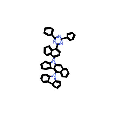 c1ccc(-c2nc(-c3ccccc3)nc(-c3ccc(-n4c5ccccc5c5c(-n6c7ccccc7c7ccccc76)c6ccccc6cc54)c4ccccc34)n2)cc1